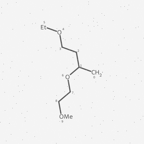 [CH2]C(CCOCC)OCCOC